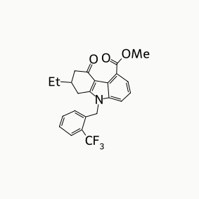 CCC1CC(=O)c2c(n(Cc3ccccc3C(F)(F)F)c3cccc(C(=O)OC)c23)C1